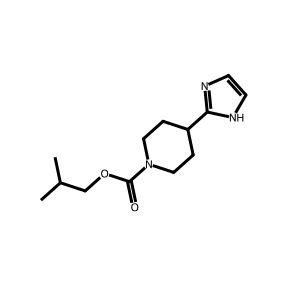 CC(C)COC(=O)N1CCC(c2ncc[nH]2)CC1